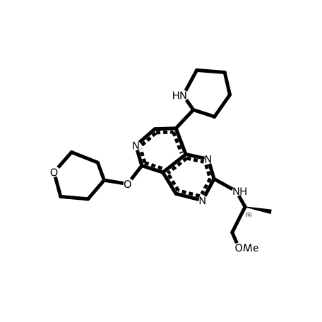 COC[C@H](C)Nc1ncc2c(OC3CCOCC3)ncc(C3CCCCN3)c2n1